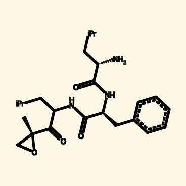 CC(C)CC(NC(=O)[C@H](Cc1ccccc1)NC(=O)[C@@H](N)CC(C)C)C(=O)[C@@]1(C)CO1